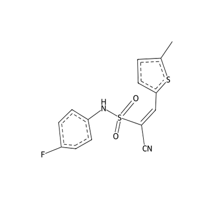 Cc1ccc(/C=C(/C#N)S(=O)(=O)Nc2ccc(F)cc2)s1